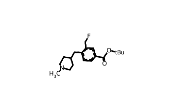 CN1CCC(Cc2ccc(C(=O)OC(C)(C)C)cc2CF)CC1